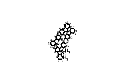 CC1(C)c2ccccc2-c2cccc(-c3cccc(N(c4ccc5c(c4)C4(C6=C5C=CCC6)c5ccccc5-c5ccccc54)c4cccc5c4sc4ccccc45)c3)c21